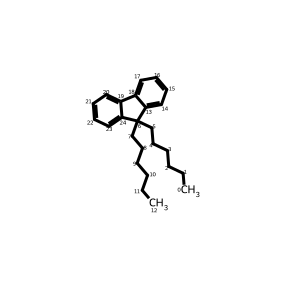 CCCCCCC1(CCCCCC)c2c[c]ccc2-c2ccccc21